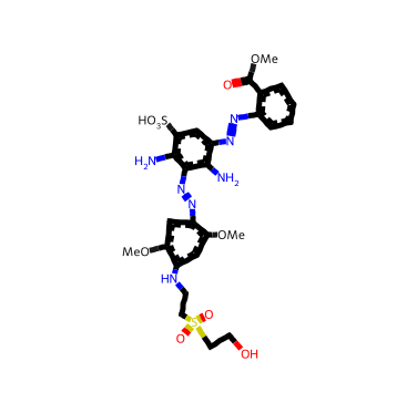 COC(=O)c1ccccc1/N=N/c1cc(S(=O)(=O)O)c(N)c(/N=N/c2cc(OC)c(NCCS(=O)(=O)CCO)cc2OC)c1N